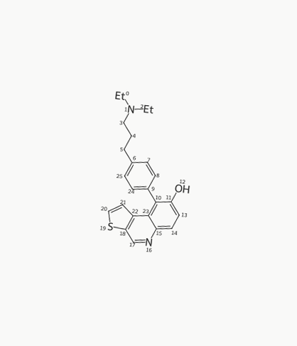 CCN(CC)CCCc1ccc(-c2c(O)ccc3ncc4sccc4c23)cc1